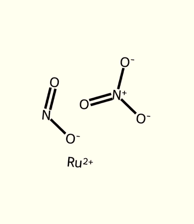 O=N[O-].O=[N+]([O-])[O-].[Ru+2]